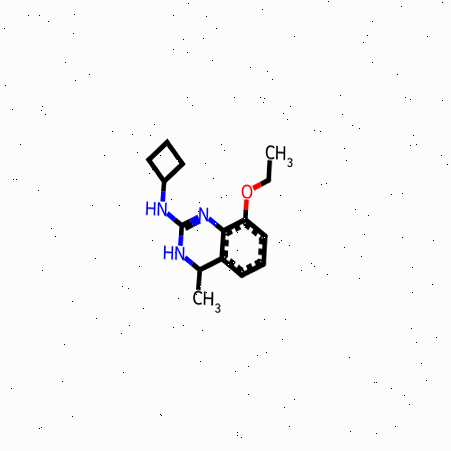 CCOc1cccc2c1N=C(NC1CCC1)NC2C